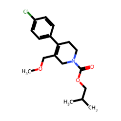 COCC1=C(c2ccc(Cl)cc2)CCN(C(=O)OCC(C)C)C1